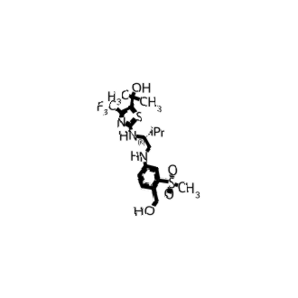 CC(C)[C@H](CNc1ccc(CO)c(S(C)(=O)=O)c1)Nc1nc(C(F)(F)F)c(C(C)(C)O)s1